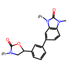 CC(C)N1CC(c2cccc(-c3ccc4c(c3)n(C(C)C)c(=O)n4C)c2)OC1=O